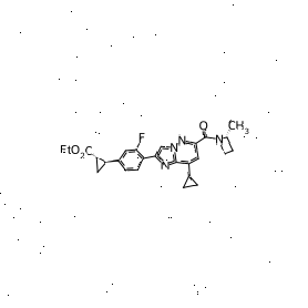 CCOC(=O)[C@H]1C[C@@H]1c1ccc(-c2cn3nc(C(=O)N4CC[C@H]4C)cc(C4CC4)c3n2)c(F)c1